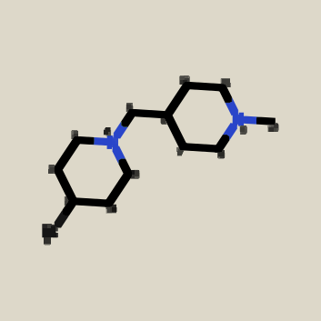 CCC1CCN(CC2CCN(C)CC2)CC1